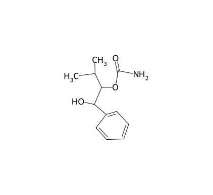 CC(C)C(OC(N)=O)C(O)c1ccccc1